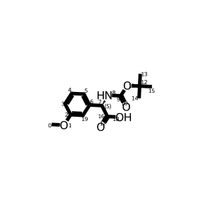 COc1cccc([C@H](NC(=O)OC(C)(C)C)C(=O)O)c1